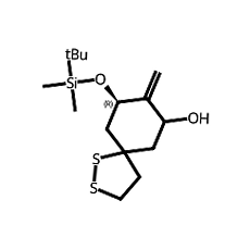 C=C1C(O)CC2(CCSS2)C[C@H]1O[Si](C)(C)C(C)(C)C